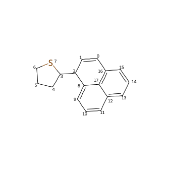 C1=CC(C2CCCS2)c2cccc3cccc1c23